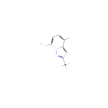 CNc1ccc(Br)c2cc(C(F)(F)F)nn12